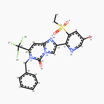 CCS(=O)(=O)c1cc(Br)cnc1-c1cn2c(=O)n(Cc3ccccc3)c(C(F)(F)F)cc2n1